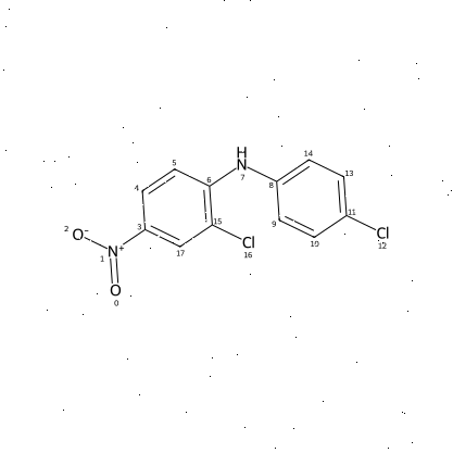 O=[N+]([O-])c1ccc(Nc2ccc(Cl)cc2)c(Cl)c1